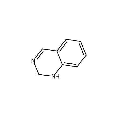 [C]1N=Cc2ccccc2N1